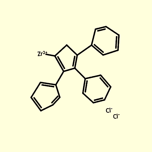 [Cl-].[Cl-].[Zr+2][C]1=C(c2ccccc2)C(c2ccccc2)=C(c2ccccc2)C1